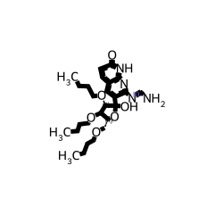 CCCCOC[C@H]1OC(O)(c2cc3ccc(=O)[nH]c3nc2/N=C/N)[C@@H](OCCCC)C1OCCCC